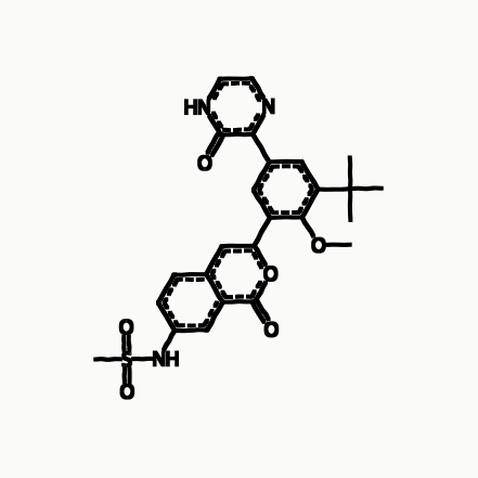 COc1c(-c2cc3ccc(NS(C)(=O)=O)cc3c(=O)o2)cc(-c2ncc[nH]c2=O)cc1C(C)(C)C